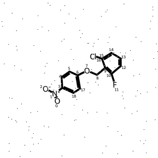 O=[N+]([O-])c1[c]cc(OCc2c(F)cccc2Cl)cc1